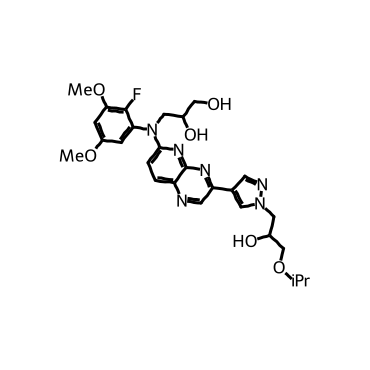 COc1cc(OC)c(F)c(N(CC(O)CO)c2ccc3ncc(-c4cnn(CC(O)COC(C)C)c4)nc3n2)c1